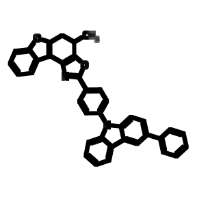 CC1Cc2oc3ccccc3c2-c2nc(-c3ccc(-n4c5ccccc5c5cc(-c6ccccc6)ccc54)cc3)oc21